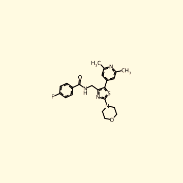 Cc1cc(-c2sc(N3CCOCC3)nc2CNC(=O)c2ccc(F)cc2)cc(C)n1